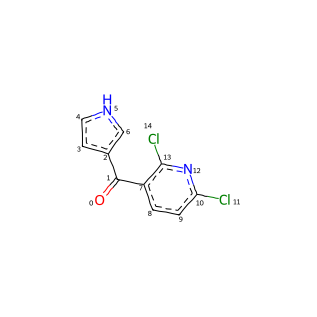 O=C(c1cc[nH]c1)c1ccc(Cl)nc1Cl